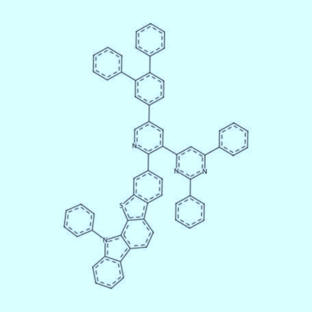 c1ccc(-c2cc(-c3cc(-c4ccc(-c5ccccc5)c(-c5ccccc5)c4)cnc3-c3ccc4c(c3)sc3c4ccc4c5ccccc5n(-c5ccccc5)c43)nc(-c3ccccc3)n2)cc1